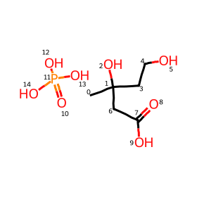 CC(O)(CCO)CC(=O)O.O=P(O)(O)O